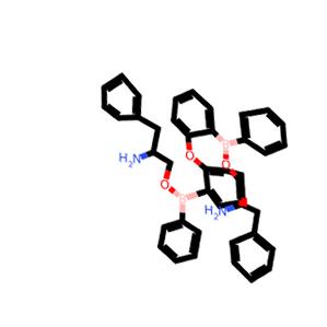 NC(COB(c1ccccc1)c1ccccc1Oc1ccccc1B(OCC(N)Cc1ccccc1)c1ccccc1)Cc1ccccc1